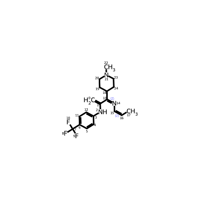 C=C(Nc1ccc(C(F)(F)F)cc1)/C(=N\C=C/C)C1CCN(C)CC1